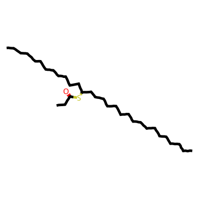 CCCCCCCCCCCCCCCCCC(CCCCCCCCCCCC)SC(=O)CC